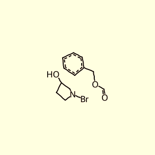 O=COCc1ccccc1.OC1CCN(Br)C1